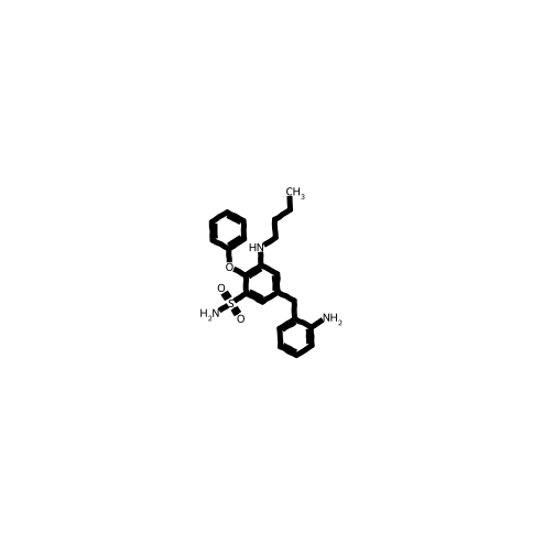 CCCCNc1cc(Cc2ccccc2N)cc(S(N)(=O)=O)c1Oc1ccccc1